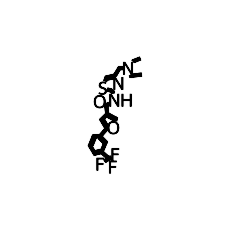 CCN(CC)Cc1csc(NC(=O)c2coc(-c3cccc(C(F)(F)F)c3)c2)n1